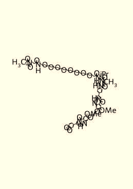 COc1cc2c(cc1OCCCOc1cc3c(cc1OC)C(=O)N1C=C(c4ccc5c(c4)OCO5)C[C@H]1C=N3)N=C[C@@H]1CC(c3ccc(NC(=O)[C@H](C)NC(=O)C(NC(=O)CCOCCOCCOCCOCCOCCOCCOCCOCCNC(=O)CCN4C(=O)CC(C)C4=O)C(C)C)cc3)=CN1C2=O